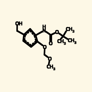 COCOc1ccc(CO)cc1NC(=O)OC(C)(C)C